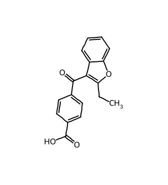 CCc1oc2ccccc2c1C(=O)c1ccc(C(=O)O)cc1